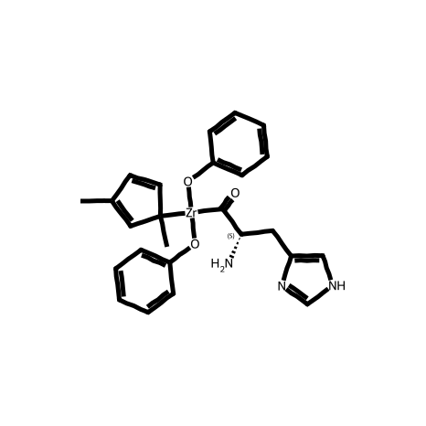 CC1=C[C](C)([Zr]([O]c2ccccc2)([O]c2ccccc2)[C](=O)[C@@H](N)Cc2c[nH]cn2)C=C1